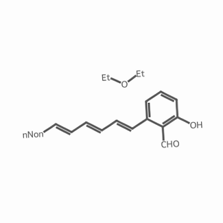 CCCCCCCCCC=CC=CC=Cc1cccc(O)c1C=O.CCOCC